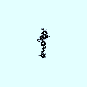 CC1CCCN1CCCOc1ccc(N2C(=O)CC[C@H]2CN(C)c2ccc(F)cc2)cc1